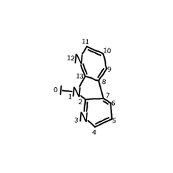 In1c2ncccc2c2cccnc21